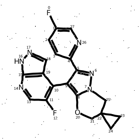 Fc1ccc(-c2nn3c(c2-c2c(F)cnc4[nH]ncc24)OCC2(CC2)C3)nc1